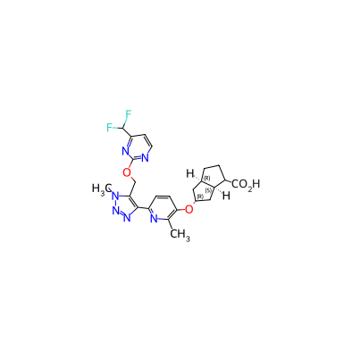 Cc1nc(-c2nnn(C)c2COc2nccc(C(F)F)n2)ccc1O[C@@H]1C[C@H]2CCC(C(=O)O)[C@H]2C1